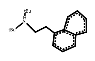 CC(C)(C)[SiH](CCc1cccc2ccccc12)C(C)(C)C